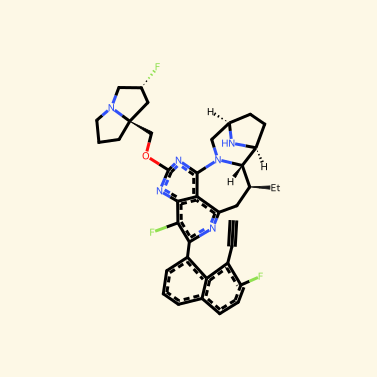 C#Cc1c(F)ccc2cccc(-c3nc4c5c(nc(OC[C@@]67CCCN6C[C@H](F)C7)nc5c3F)N3C[C@H]5CC[C@H](N5)[C@@H]3[C@@H](CC)C4)c12